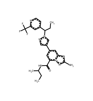 CCC(C)NC(=O)c1cc(-c2cnn(C(CC)c3ccnc(C(F)(F)F)c3)c2)cc2nc(N)nn12